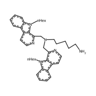 CCCCCCn1c2ccccc2c2ccnc(CN(CCCCCN)Cc3nccc4c5ccccc5n(CCCCCC)c34)c21